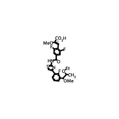 CCOC(C)C(OC)c1cccc(-c2csc(NC(=O)c3cc(F)c(/C=C(\OC)C(=O)O)c(F)c3)n2)c1F